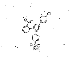 COC(=O)c1ccccc1-c1cc(-c2ccc(Cl)cc2)nn1-c1ccc(S(N)(=O)=O)cc1